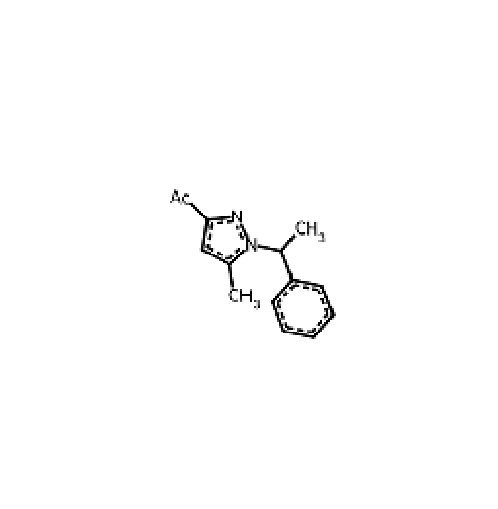 CC(=O)c1cc(C)n(C(C)c2ccccc2)n1